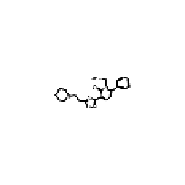 O=CCn1c(-c2ccccc2)ccc(-c2noc(CCN3CCCCC3)n2)c1=O